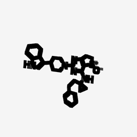 [O-][S+]1CCc2nc(N3CCC(c4c[nH]c5ccccc45)CC3)nc(NC3(CCc4ccccc4)CC3)c21